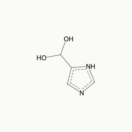 OC(O)c1cnc[nH]1